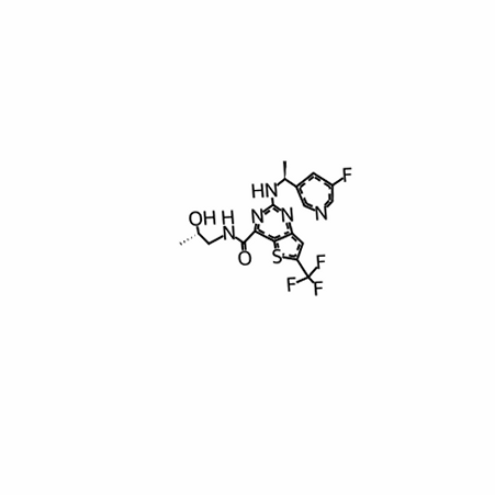 C[C@H](O)CNC(=O)c1nc(N[C@@H](C)c2cncc(F)c2)nc2cc(C(F)(F)F)sc12